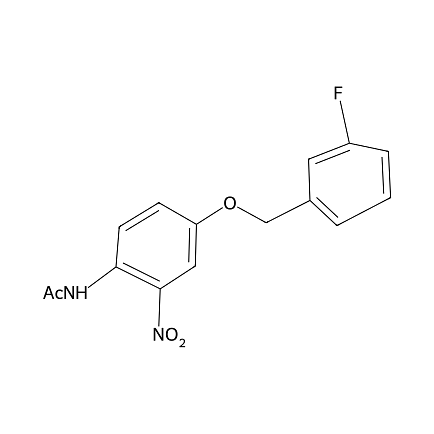 CC(=O)Nc1ccc(OCc2cccc(F)c2)cc1[N+](=O)[O-]